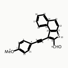 COc1ccc(C#Cc2c(C=O)sc3ccc4ccccc4c23)cc1